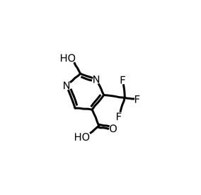 O=C(O)c1cnc(O)nc1C(F)(F)F